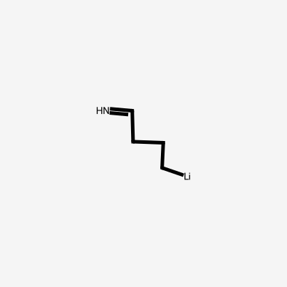 [Li][CH2]CCC=N